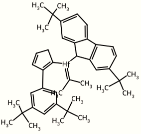 C[C](C)=[Hf]([C]1=C(c2cc(C(C)(C)C)cc(C(C)(C)C)c2)C=CC1)[CH]1c2cc(C(C)(C)C)ccc2-c2ccc(C(C)(C)C)cc21